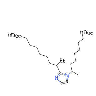 CCCCCCCCCCCCCCCCC(CC)c1nccn1C(C)CCCCCCCCCCCCCCCC